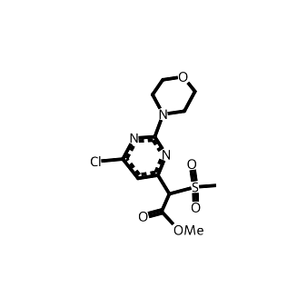 COC(=O)C(c1cc(Cl)nc(N2CCOCC2)n1)S(C)(=O)=O